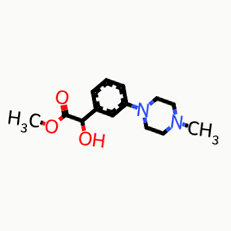 COC(=O)C(O)c1cccc(N2CCN(C)CC2)c1